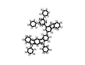 c1ccc(-c2nc(-c3ccccc3)nc(-c3cc(-c4ccc5c(c4)c4cc6c7ccccc7n(-c7ccccc7)c6cc4n5-c4ccccc4)cc4c3sc3ccccc34)n2)cc1